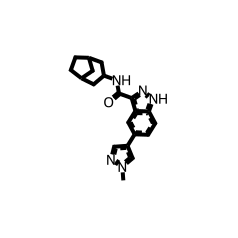 Cn1cc(-c2ccc3[nH]nc(C(=O)NC4CC5CCC(C5)C4)c3c2)cn1